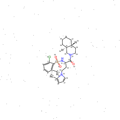 Cc1cccc(Cl)c1S(=O)(=O)NC(CCn1cccc1C#N)C(=O)N1CC[C@H]2CCCC[C@@H]2C1